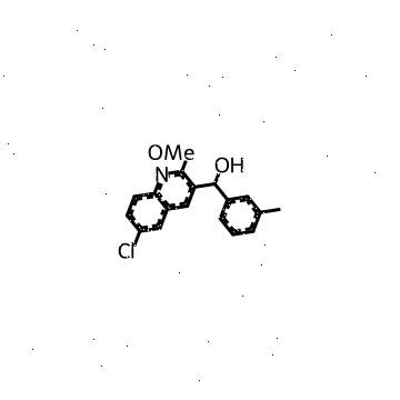 COc1nc2ccc(Cl)cc2cc1C(O)c1cccc(C)c1